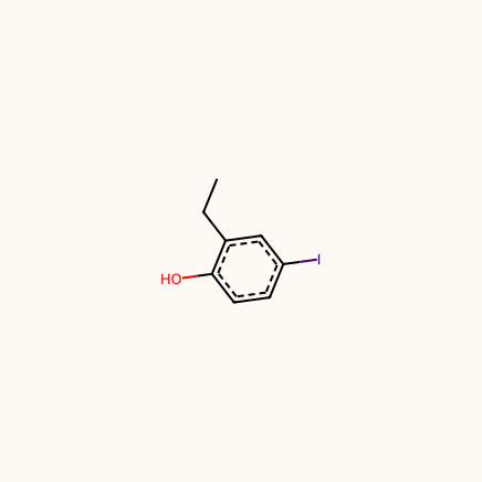 CCc1cc(I)ccc1O